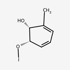 CC1=CC=C[C@H](OI)[C@@H]1O